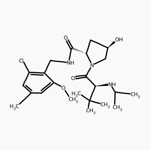 COc1cc(C)cc(Cl)c1CNC(=O)[C@@H]1C[C@@H](O)CN1C(=O)[C@@H](NC(C)C)C(C)(C)C